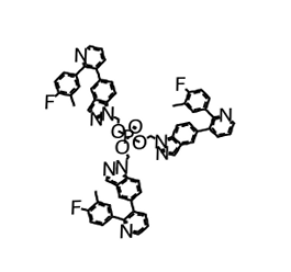 Cc1cc(-c2ncccc2-c2ccc3c(cnn3COP(=O)(OCn3ncc4cc(-c5cccnc5-c5ccc(F)c(C)c5)ccc43)OCn3ncc4cc(-c5cccnc5-c5ccc(F)c(C)c5)ccc43)c2)ccc1F